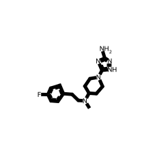 CN(CCc1ccc(F)cc1)C1CCN(c2nc(N)n[nH]2)CC1